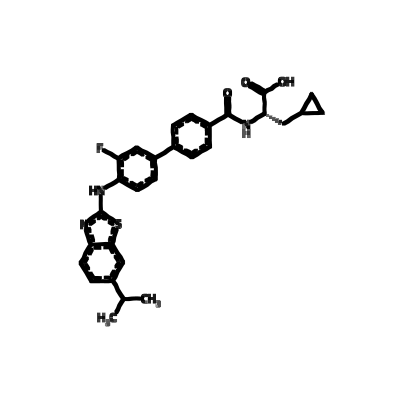 CC(C)c1ccc2nc(Nc3ccc(-c4ccc(C(=O)N[C@@H](CC5CC5)C(=O)O)cc4)cc3F)sc2c1